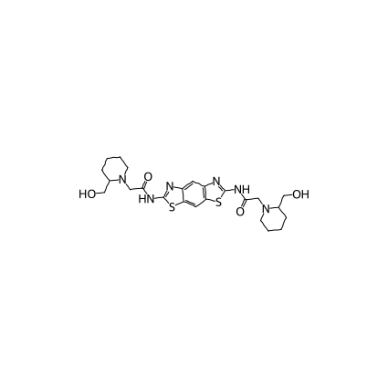 O=C(CN1CCCCC1CO)Nc1nc2cc3nc(NC(=O)CN4CCCCC4CO)sc3cc2s1